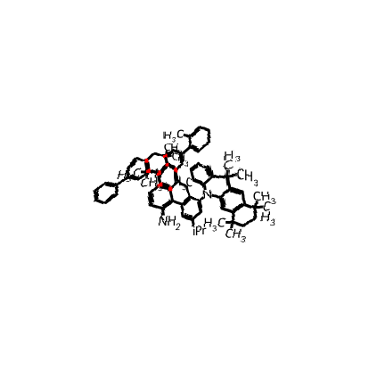 CC1=CCCC=C1c1ccc(N(c2cccc(-c3ccccc3)c2)c2ccc(N)c(-c3cc(C(C)C)cc(N4c5cc6c(cc5C(C)(C)c5cccc(C)c54)C(C)(C)CCC6(C)C)c3Cc3ccc4c(c3)C(C)(C)CCC4(C)C)c2)cc1